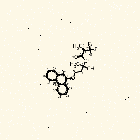 C=C(C(=O)OC(C)(C)CCOc1cc2ccccc2c2ccccc12)C(F)(F)F